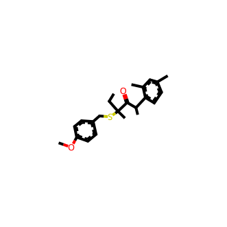 CCC(C)(SCc1ccc(OC)cc1)C(=O)C(C)c1ccc(C)cc1C